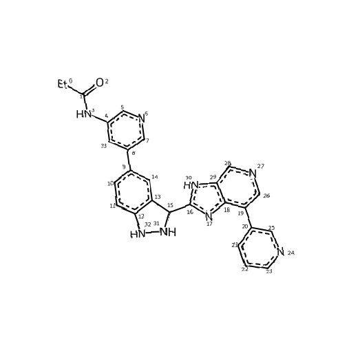 CCC(=O)Nc1cncc(-c2ccc3c(c2)C(c2nc4c(-c5cccnc5)cncc4[nH]2)NN3)c1